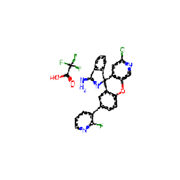 NC1=NC2(c3cc(-c4cccnc4F)ccc3Oc3cnc(Cl)cc32)c2ccccc21.O=C(O)C(F)(F)F